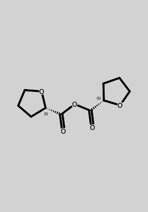 O=C(OC(=O)[C@@H]1CCCO1)[C@@H]1CCCO1